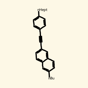 CCCCCCCc1ccc(C#Cc2ccc3cc(CCCC)ccc3c2)cc1